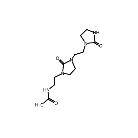 CC(=O)NCCN1CCN(CCN2CCNC2=O)C1=O